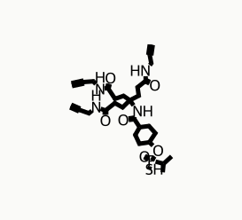 C#CCNC(=O)CCC(CCC(=O)NCC#C)(CCC(=O)NCC#C)NC(=O)C1CCC(OP(=O)(S)C(C)C)CC1